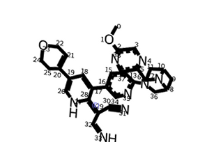 COc1cnc(CN2C3CC2CN(c2ccc(C4=CC(C5=CCOCC5)=CN/C4=C(/C#N)C=N)cn2)C3)cn1